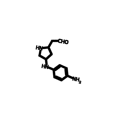 Nc1ccc(NC2CNC(CC=O)C2)cc1